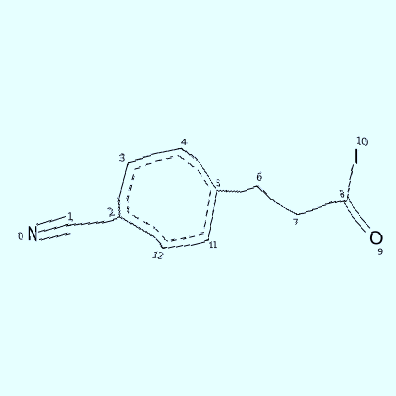 N#Cc1ccc(CCC(=O)I)cc1